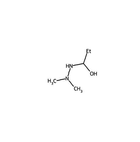 CCC(O)NN(C)C